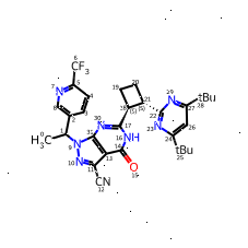 CC(c1ccc(C(F)(F)F)nc1)n1nc(C#N)c2c(=O)[nH]c([C@H]3CC[C@@H]3c3nc(C(C)(C)C)cc(C(C)(C)C)n3)nc21